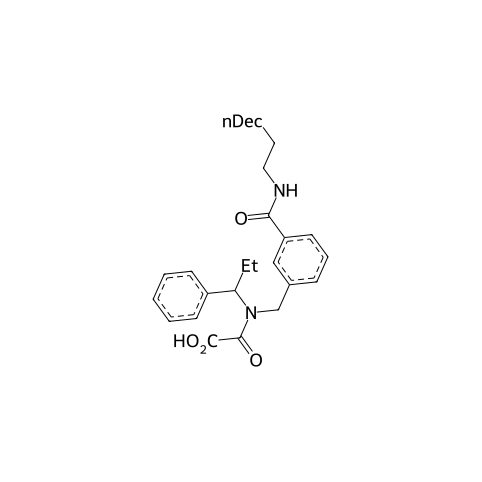 CCCCCCCCCCCCNC(=O)c1cccc(CN(C(=O)C(=O)O)C(CC)c2ccccc2)c1